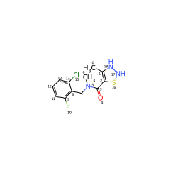 CC1=C(C(=O)N(C)Cc2c(F)cccc2Cl)SNN1